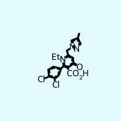 CCn1c(Cn2cc(C)cn2)cc(=O)c(C(=O)O)c1-c1ccc(Cl)c(Cl)c1